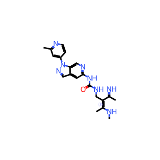 CN/C(C)=C(/CNC(=O)Nc1cc2cnn(-c3ccnc(C)c3)c2cn1)C(C)=N